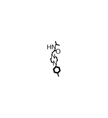 Cc1ccc(N2CCN(CC(=O)NC(C)C)CC2)cc1